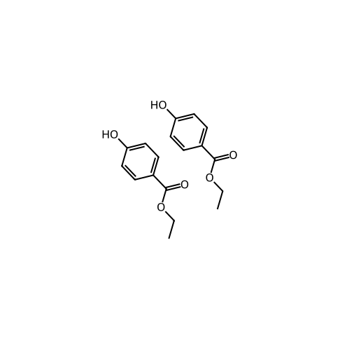 CCOC(=O)c1ccc(O)cc1.CCOC(=O)c1ccc(O)cc1